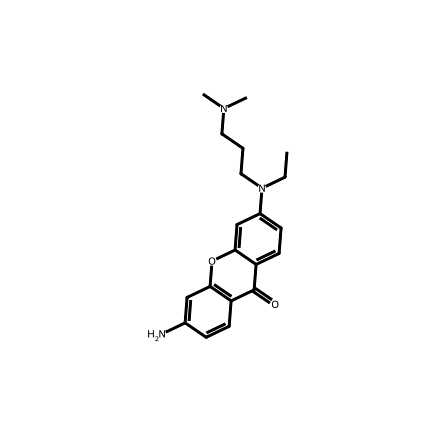 CCN(CCCN(C)C)c1ccc2c(=O)c3ccc(N)cc3oc2c1